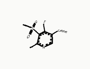 COc1cnc(C)c(S(C)(=O)=O)c1F